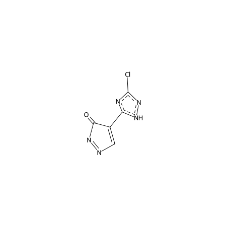 O=C1N=NC=C1c1nc(Cl)n[nH]1